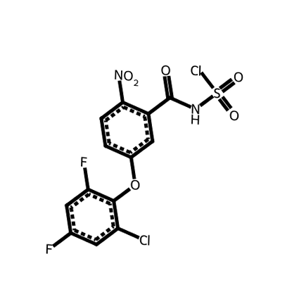 O=C(NS(=O)(=O)Cl)c1cc(Oc2c(F)cc(F)cc2Cl)ccc1[N+](=O)[O-]